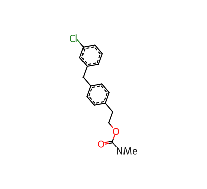 CNC(=O)OCCc1ccc(Cc2cccc(Cl)c2)cc1